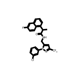 CC(C(=O)NCc1cc(C(F)(F)F)nn1-c1cccc(Cl)c1)c1cccc2cc(F)ccc12